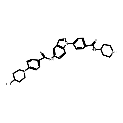 O=C(Nc1ccc2c(cnn2-c2ccc(C(=O)NC3CCNCC3)cc2)c1)c1ccc(N2CCC(O)CC2)cc1